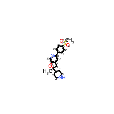 C[C@@]1(C2CCNCC2)Cc2cc(-c3ccc(S(C)(=O)=O)cc3)ncc2O1